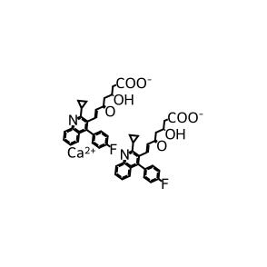 O=C([O-])C[C@H](O)CC(=O)/C=C/c1c(C2CC2)nc2ccccc2c1-c1ccc(F)cc1.O=C([O-])C[C@H](O)CC(=O)/C=C/c1c(C2CC2)nc2ccccc2c1-c1ccc(F)cc1.[Ca+2]